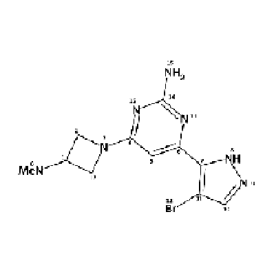 CNC1CN(c2cc(-c3[nH]ncc3Br)nc(N)n2)C1